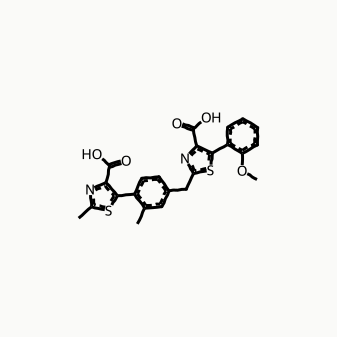 COc1ccccc1-c1sc(Cc2ccc(-c3sc(C)nc3C(=O)O)c(C)c2)nc1C(=O)O